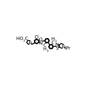 Cc1c(-c2nc3cc(CN4CCC(C(=O)O)C4)cc(Cl)c3o2)cccc1-c1cccc(-c2nc3c(s2)CN(C(C)C)CC3)c1C